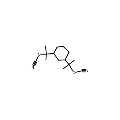 CC(C)(OC#N)C1CCCC(C(C)(C)OC#N)C1